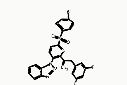 C=C(Cc1cc(F)cc(F)c1)c1nc(S(=O)(=O)c2ccc(Br)cc2)ccc1-n1nnc2ccccc21